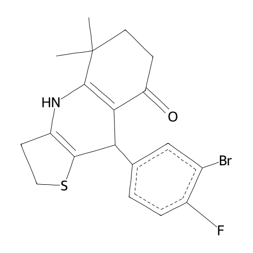 CC1(C)CCC(=O)C2=C1NC1=C(SCC1)C2c1ccc(F)c(Br)c1